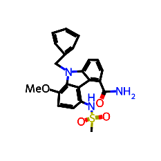 COc1ccc(NS(C)(=O)=O)c2c3c(C(N)=O)cccc3n(Cc3ccccc3)c12